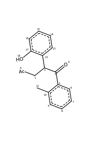 CC(=O)CC(C(=O)c1ccccc1C)c1ccccc1O